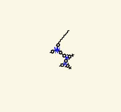 CCCCCCCCCCCCc1ccc(-c2nc(-c3ccc(C)cc3)nc(-c3ccc(-c4ccc(N(c5ccc(N(c6ccc(C)cc6)c6c(C)cc(C(C)(C)C)cc6C)cc5)c5c(C)cc(C(C)(C)C)cc5C)cc4)cc3)n2)cc1